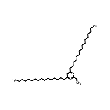 [CH2]Cc1nc(CCCCCCCCCCCCCCCC)cc(CCCCCCCCCCCCCCCC)n1